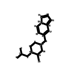 CC(C)CN1CCN(Cc2ccn3nccc3c2)CC1C